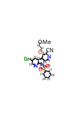 COCCOc1c(C#N)ncc2c1c1cc(Br)cnc1n2S(=O)(=O)c1ccccc1